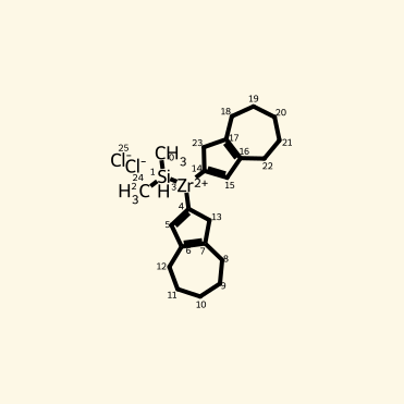 C[SiH](C)[Zr+2]([C]1=CC2=C(CCCCC2)C1)[C]1=CC2=C(CCCCC2)C1.[Cl-].[Cl-]